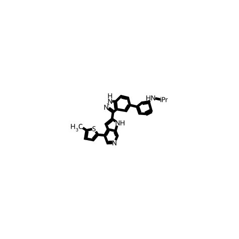 Cc1ccc(-c2cncc3[nH]c(-c4n[nH]c5ccc(-c6cc#cc(NC(C)C)c6)cc45)cc23)s1